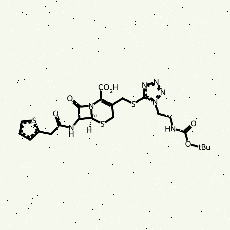 CC(C)(C)OC(=O)NCCn1nnnc1SCC1=C(C(=O)O)N2C(=O)C(NC(=O)Cc3cccs3)[C@@H]2SC1